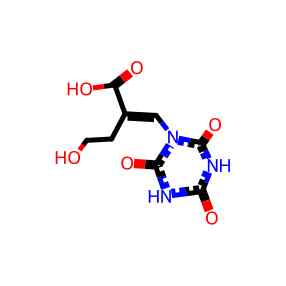 O=C(O)C(=Cn1c(=O)[nH]c(=O)[nH]c1=O)CCO